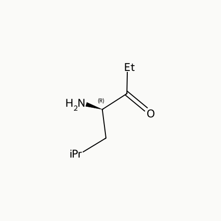 CCC(=O)[C@H](N)CC(C)C